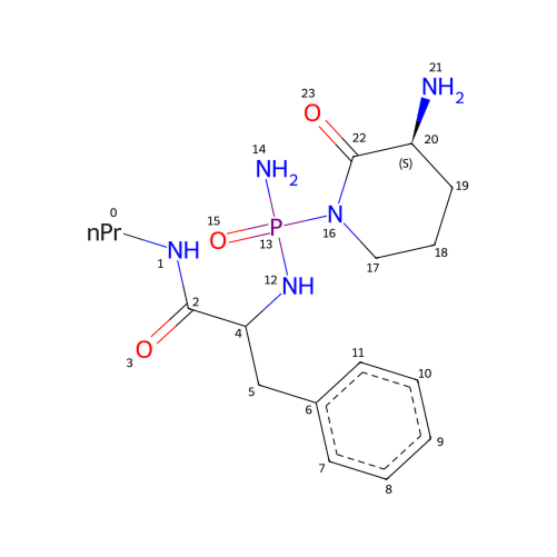 CCCNC(=O)C(Cc1ccccc1)NP(N)(=O)N1CCC[C@H](N)C1=O